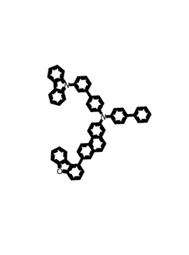 c1ccc(-c2ccc(N(c3ccc(-c4cccc(-n5c6ccccc6c6ccccc65)c4)cc3)c3ccc4c(ccc5cc(-c6cccc7oc8ccccc8c67)ccc54)c3)cc2)cc1